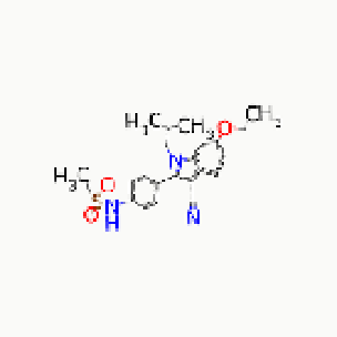 CCOc1ccc2c(C#N)c(-c3ccc(NS(=O)(=O)CC)cc3)n(CC(C)C)c2c1